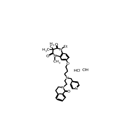 CCN1C(=O)C(C)(C)C(=O)N(C)c2cc(OCCCN(CCN3CCc4ccccc4C3=O)Cc3ccncc3)ccc21.Cl.Cl